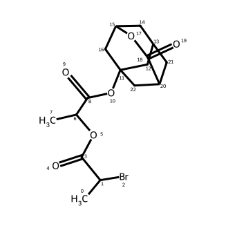 CC(Br)C(=O)OC(C)C(=O)OC12CC3CC(C1)OC(=O)C(C3)C2